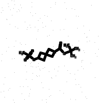 CC(C)(C)OC(=O)N1CC2(CC(OS(C)(=O)=O)C2)C1